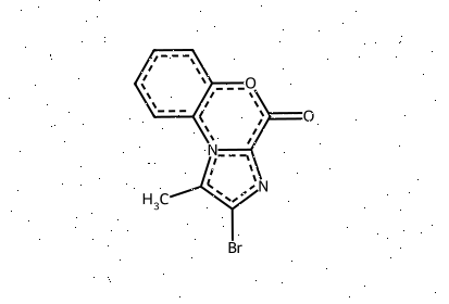 Cc1c(Br)nc2c(=O)oc3ccccc3n12